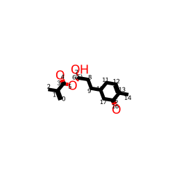 C=C(C)C(=O)O[C@H](O)CCC1CC=C(C)C(=O)C1